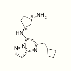 N[C@H]1CC[C@H](Nc2cc(CC3CCC3)nc3ccnn23)C1